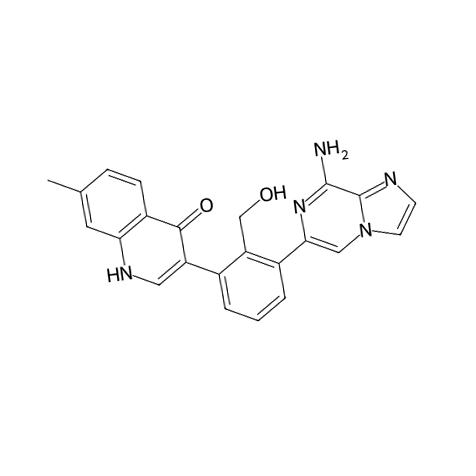 Cc1ccc2c(=O)c(-c3cccc(-c4cn5ccnc5c(N)n4)c3CO)c[nH]c2c1